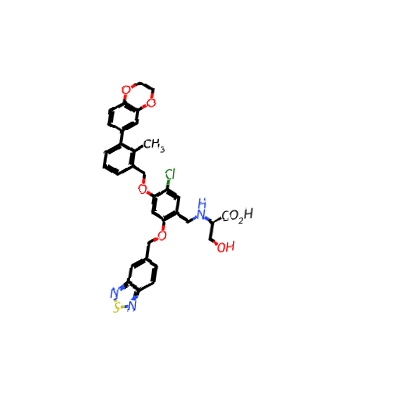 Cc1c(COc2cc(OCc3ccc4nsnc4c3)c(CN[C@H](CO)C(=O)O)cc2Cl)cccc1-c1ccc2c(c1)OCCO2